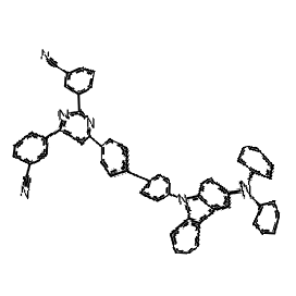 N#Cc1cccc(-c2cc(-c3ccc(-c4ccc(-n5c6ccccc6c6cc(N(c7ccccc7)c7ccccc7)ccc65)cc4)cc3)nc(-c3cccc(C#N)c3)n2)c1